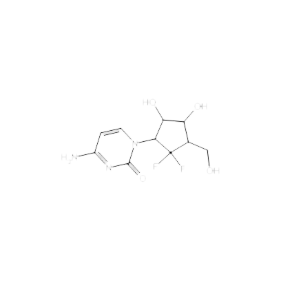 Nc1ccn(C2C(O)C(O)C(CO)C2(F)F)c(=O)n1